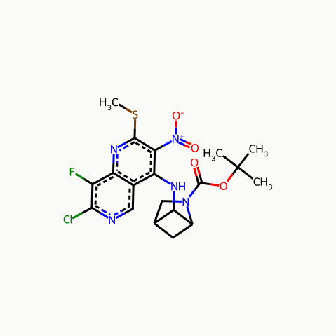 CSc1nc2c(F)c(Cl)ncc2c(NC2C3CC2N(C(=O)OC(C)(C)C)C3)c1[N+](=O)[O-]